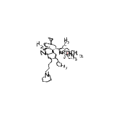 C=C(C[C@@H](c1ccc(C)c(/C=C\C(C)(C)C)c1CC)c1ccnc2cc(CCCCN3CCCCC3)c(CC)cc12)C1CC1